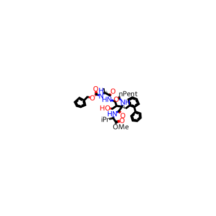 CCCCCC(=O)N[C@@](Cc1ccccc1-c1ccccc1)(C(=O)NC(C(=O)OC)C(C)C)C(CO)CNC(=O)[C@H](C)NC(=O)OCc1ccccc1